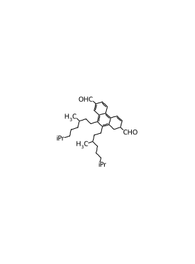 CC(C)CCCC(C)CCc1c2c(c3ccc(C=O)cc3c1CCC(C)CCCC(C)C)C=CC(C=O)C2